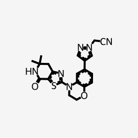 CC1(C)Cc2nc(N3CCOc4ccc(-c5cnn(CC#N)c5)cc43)sc2C(=O)N1